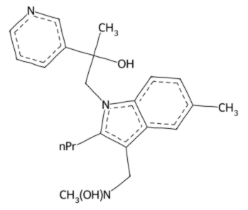 CCCc1c(CN(C)O)c2cc(C)ccc2n1CC(C)(O)c1cccnc1